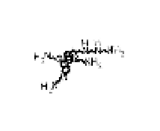 C[C@H](CCCNCCCNCCCN)C1CC[C@H]2C3[C@H](OCCCN)CC4C[C@H](OCCCN)CCC4(C)[C@H]3C[C@H](OCCCN)C12C